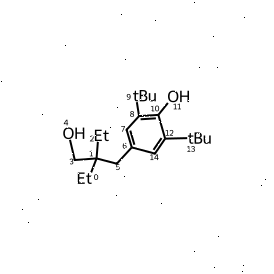 CCC(CC)(CO)Cc1cc(C(C)(C)C)c(O)c(C(C)(C)C)c1